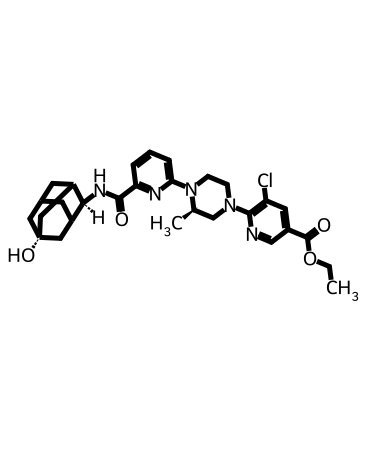 CCOC(=O)c1cnc(N2CCN(c3cccc(C(=O)N[C@H]4C5CC6CC4C[C@](O)(C6)C5)n3)[C@H](C)C2)c(Cl)c1